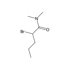 CCCC(Br)C(=O)N(C)C